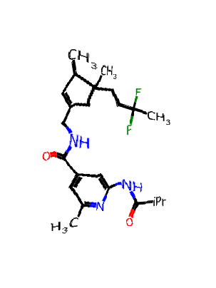 Cc1cc(C(=O)NCC2=CC(C)C(C)(CCC(C)(F)F)C2)cc(NC(=O)C(C)C)n1